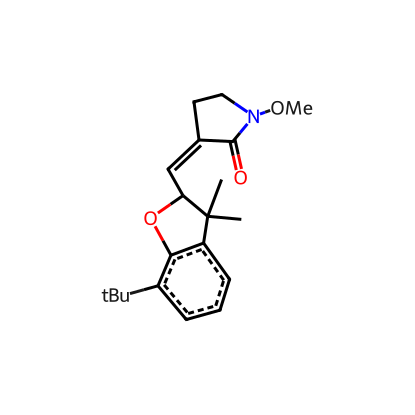 CON1CCC(=CC2Oc3c(C(C)(C)C)cccc3C2(C)C)C1=O